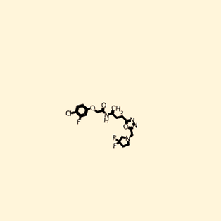 C=C(CCc1nnc(CN2CCC(F)(F)C2)o1)NC(=O)COc1ccc(Cl)c(F)c1